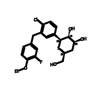 CCOc1ccc(Cc2cc([C@@H]3S[C@H](CO)C[C@H](O)[C@H]3O)ccc2Cl)cc1F